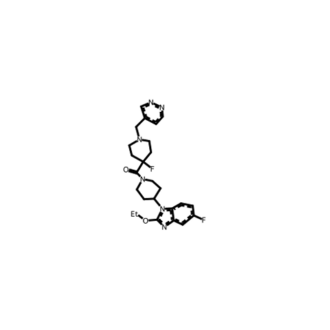 CCOc1nc2cc(F)ccc2n1C1CCN(C(=O)C2(F)CCN(Cc3ccnnc3)CC2)CC1